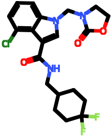 O=C(NCC1CCC(F)(F)CC1)c1cn(CN2CCOC2=O)c2cccc(Cl)c12